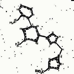 CCOC(=O)c1cnn(Cc2nc(-c3cc(-c4cccnc4C)cc(C(F)(F)F)c3)cs2)c1